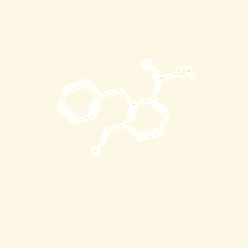 NC(=O)c1cccc(CCl)c1Cc1ccccc1